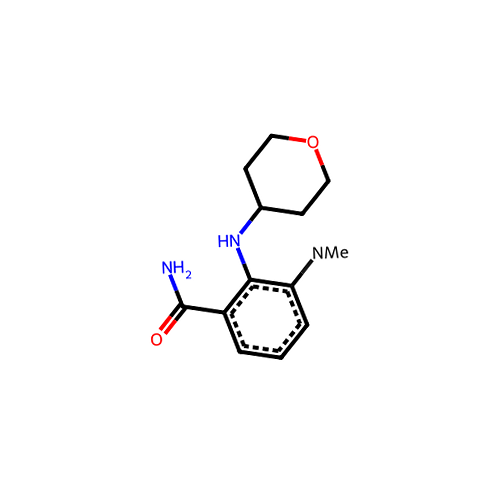 CNc1cccc(C(N)=O)c1NC1CCOCC1